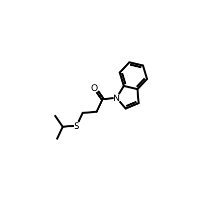 CC(C)SCCC(=O)n1ccc2ccccc21